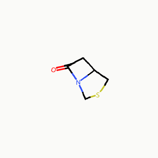 O=C1CC2CSCN12